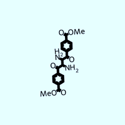 COC(=O)c1ccc(C(=O)C(N)C(N)C(=O)c2ccc(C(=O)OC)cc2)cc1